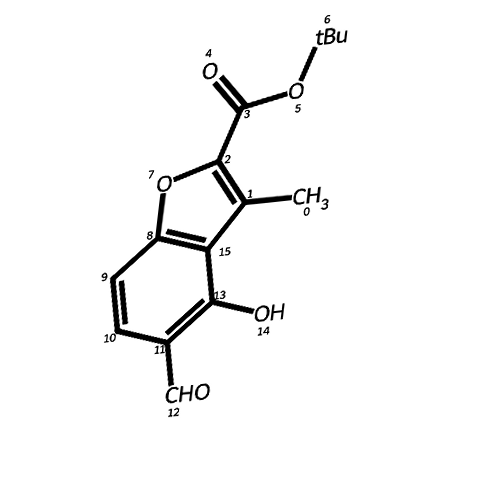 Cc1c(C(=O)OC(C)(C)C)oc2ccc(C=O)c(O)c12